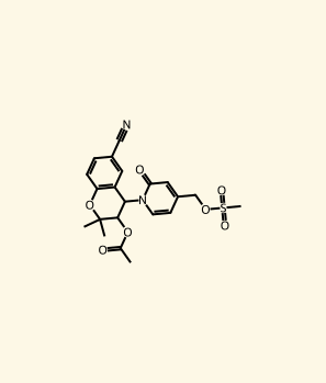 CC(=O)OC1C(n2ccc(COS(C)(=O)=O)cc2=O)c2cc(C#N)ccc2OC1(C)C